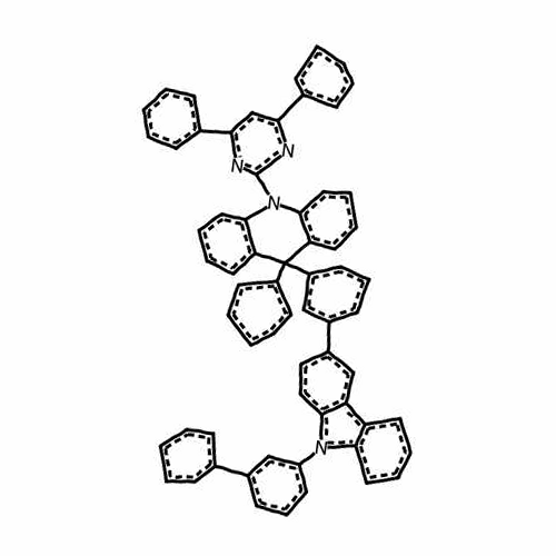 c1ccc(-c2cccc(-n3c4ccccc4c4cc(-c5cccc(C6(c7ccccc7)c7ccccc7N(c7nc(-c8ccccc8)cc(-c8ccccc8)n7)c7ccccc76)c5)ccc43)c2)cc1